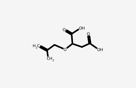 C=C(C)COC(CC(=O)O)C(=O)O